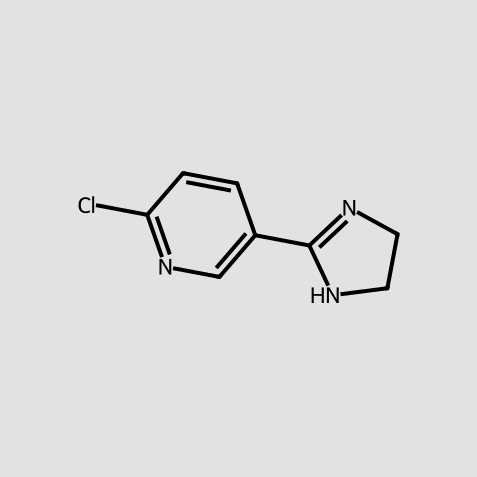 Clc1ccc(C2=NCCN2)cn1